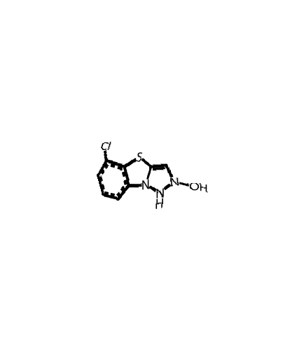 ON1C=C2Sc3c(Cl)cccc3N2N1